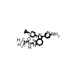 CN(C)C(=O)Nc1nc2c(s1)-c1c(c(-c3ccc(N)nc3)nn1C1CCN(C3CC3)CC1)CCC2